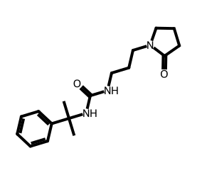 CC(C)(NC(=O)NCCCN1CCCC1=O)c1ccccc1